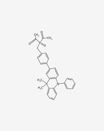 CC(=O)P(=O)(Cc1ccc(-c2ccc3c(c2)C(C)(C)c2ccccc2N3c2ccccc2)cc1)C(C)=O